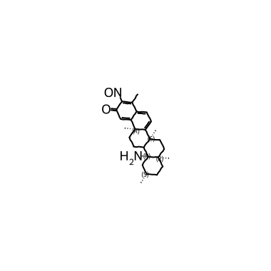 CC1=C(N=O)C(=O)C=C2C1=CC=C1[C@@]2(C)CCC2[C@]3(N)C[C@@H](C)CC[C@]3(C)CC[C@]12C